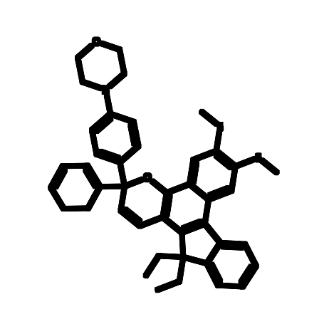 CCC1(CC)c2ccccc2-c2c1c1c(c3cc(SC)c(SC)cc23)OC(C2=CC=CCC2)(c2ccc(N3CCOCC3)cc2)C=C1